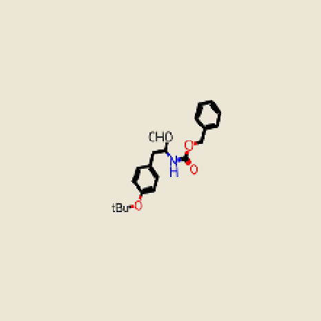 CC(C)(C)Oc1ccc(CC(C=O)NC(=O)OCc2ccccc2)cc1